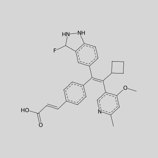 COc1cc(C)ncc1/C(=C(\c1ccc(/C=C/C(=O)O)cc1)c1ccc2c(c1)C(F)NN2)C1CCC1